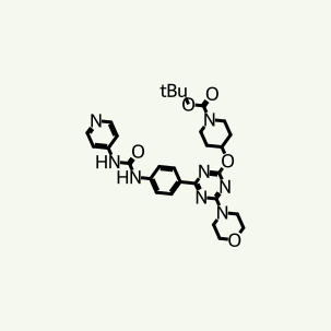 CC(C)(C)OC(=O)N1CCC(Oc2nc(-c3ccc(NC(=O)Nc4ccncc4)cc3)nc(N3CCOCC3)n2)CC1